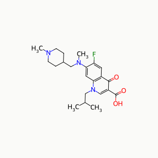 CC(C)Cn1cc(C(=O)O)c(=O)c2cc(F)c(N(C)CC3CCN(C)CC3)cc21